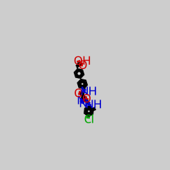 Cc1cc(Cl)ccc1Nc1nnc(C(=O)Nc2ccc([C@H]3CC[C@H](CC(=O)O)CC3)cc2)o1